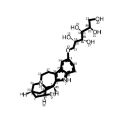 CC[C@H]1C[C@H]2C[C@H]3c4[nH]c5ccc(OC[C@H](O)[C@@H](O)[C@H](O)[C@H](O)CO)cc5c4CCN(C2)C13